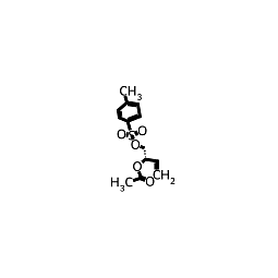 C=C[C@@H](COS(=O)(=O)c1ccc(C)cc1)OC(C)=O